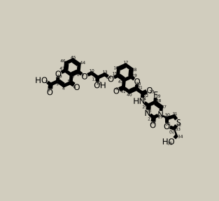 O=C(O)c1cc(=O)c2c(OCC(O)COc3cccc4oc(C(=O)Nc5nc(=O)n([C@H]6CS[C@@H](CO)O6)cc5F)cc(=O)c34)cccc2o1